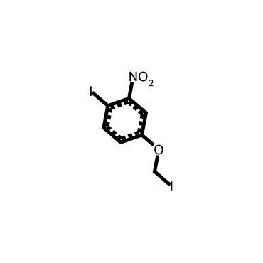 O=[N+]([O-])c1cc(OCI)ccc1I